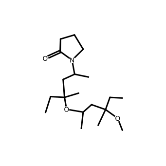 CCC(C)(CC(C)OC(C)(CC)CC(C)N1CCCC1=O)OC